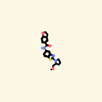 COCC1CCCN1c1nc2cc(NC(=O)c3ccc4c(c3)CCO4)ccc2s1